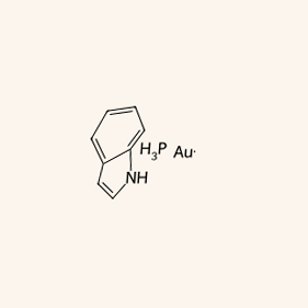 P.[Au].c1ccc2[nH]ccc2c1